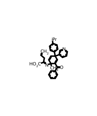 C=CCC(=NC1(C)C=CC(c2ccc(C(C)C)cc2)(c2cccnc2)C=C1C(=O)c1ccccc1)C(=O)O